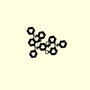 O=P12c3cc4c(cc3Oc3cccc(c31)N(c1ccccc1)c1ccccc12)N(c1ccccc1)c1cccc2c1P4(=O)c1ccccc1N2c1ccccc1